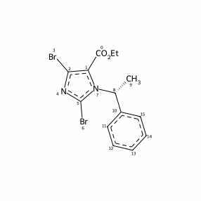 CCOC(=O)c1c(Br)nc(Br)n1[C@H](C)c1ccccc1